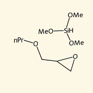 CCCOCC1CO1.CO[SiH](OC)OC